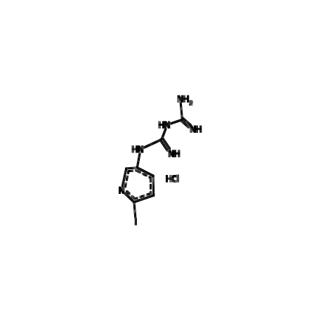 Cl.N=C(N)NC(=N)Nc1ccc(I)nc1